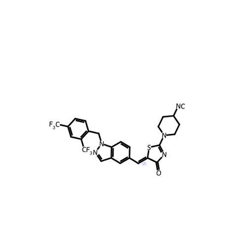 [C-]#[N+]C1CCN(C2=NC(=O)/C(=C/c3ccc4c(cnn4Cc4ccc(C(F)(F)F)cc4C(F)(F)F)c3)S2)CC1